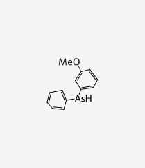 COc1cccc([AsH]c2ccccc2)c1